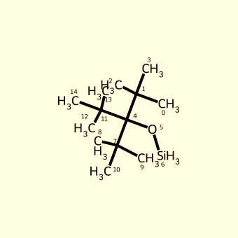 CC(C)(C)C(O[SiH3])(C(C)(C)C)C(C)(C)C